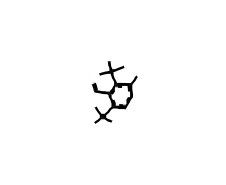 Cc1ccc(C(C)(C)C)c([C]=O)c1C(C)(C)C